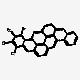 Clc1c(Br)c(Br)c2c(cc3ccc4cc5c6ccccc6cc6ccc7cc2c3c4c7c65)c1Cl